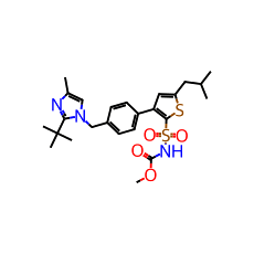 COC(=O)NS(=O)(=O)c1sc(CC(C)C)cc1-c1ccc(Cn2cc(C)nc2C(C)(C)C)cc1